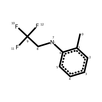 Cc1ccccc1[N]CC(F)(F)F